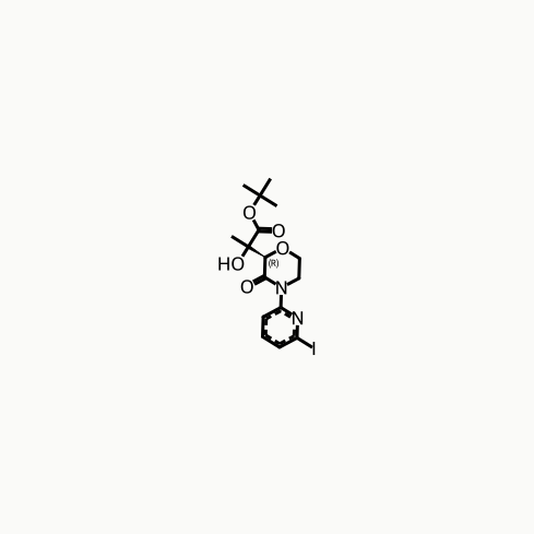 CC(C)(C)OC(=O)C(C)(O)[C@H]1OCCN(c2cccc(I)n2)C1=O